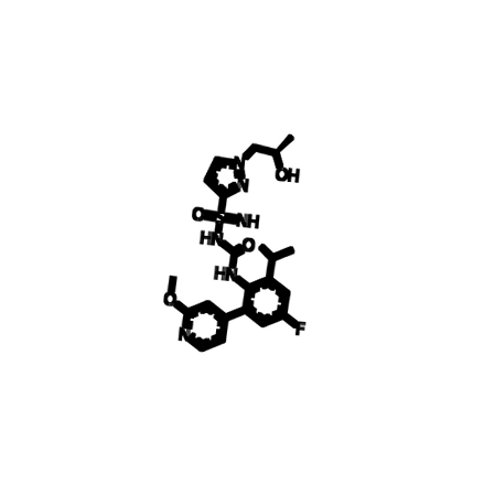 COc1cc(-c2cc(F)cc(C(C)C)c2NC(=O)NS(=N)(=O)c2ccn(C[C@@H](C)O)n2)ccn1